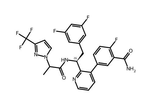 CC(C(=O)N[C@@H](Cc1cc(F)cc(F)c1)c1ncccc1-c1ccc(F)c(C(N)=O)c1)n1ccc(C(F)(F)F)n1